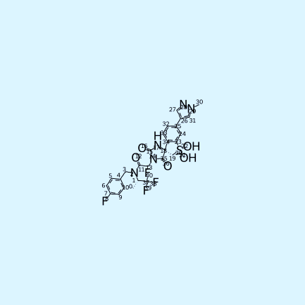 C[C@H](N(Cc1ccc(F)cc1)C(=O)CN1C(=O)N[C@]2(CS(O)(O)c3cc(-c4cnn(C)c4)ccc32)C1=O)C(F)(F)F